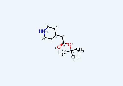 CC(C)(C)OC(=O)[CH]C1CCNCC1